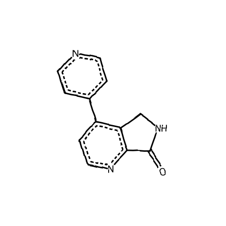 O=C1NCc2c(-c3ccncc3)ccnc21